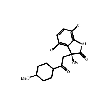 COC1CCC(C(=O)C[C@@]2(O)C(=O)Nc3c(Cl)ccc(Cl)c32)CC1